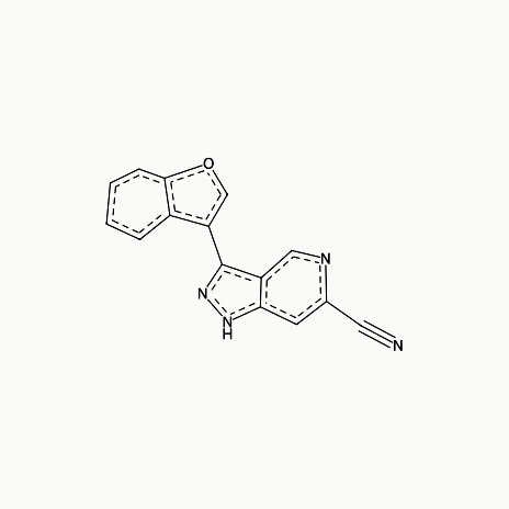 N#Cc1cc2[nH]nc(-c3coc4ccccc34)c2cn1